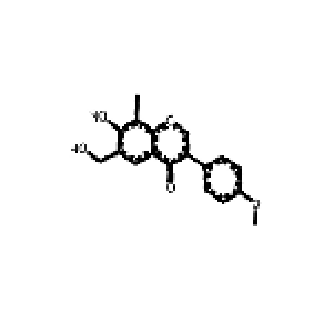 COc1ccc(-c2coc3c(C)c(O)c(CO)cc3c2=O)cc1